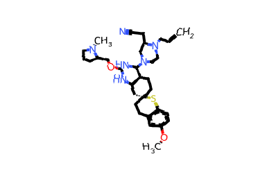 C=CCN1CCN(C2NC(OCC3CCCN3C)NC3C[C@]4(CCc5cc(OC)ccc5S4)CCC32)CC1CC#N